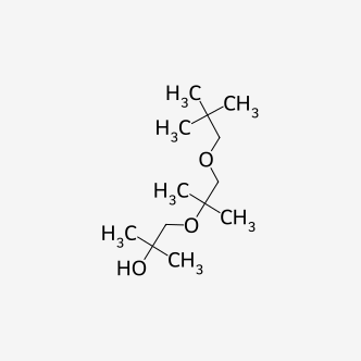 CC(C)(C)COCC(C)(C)OCC(C)(C)O